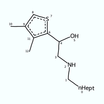 CCCCCCCCNCC(O)c1scc(C)c1C